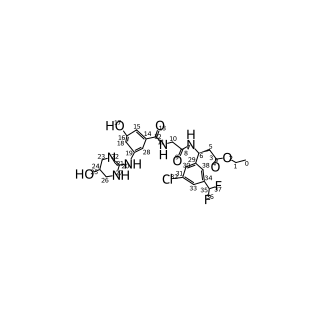 CCOC(=O)C[C@H](NC(=O)CNC(=O)c1cc(O)cc(NC2=NCC(O)CN2)c1)c1cc(Cl)cc(C(F)F)c1